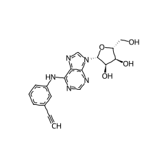 C#Cc1cccc(Nc2ncnc3c2ncn3[C@@H]2O[C@H](CO)[C@@H](O)[C@H]2O)c1